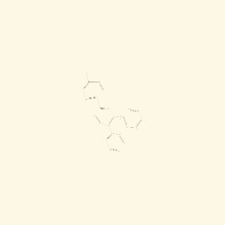 Cc1ccc(-c2ccc(-c3ccccc3)c(-c3ccccc3)c2)cc1